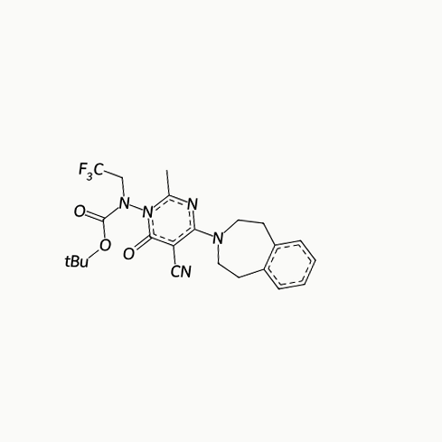 Cc1nc(N2CCc3ccccc3CC2)c(C#N)c(=O)n1N(CC(F)(F)F)C(=O)OC(C)(C)C